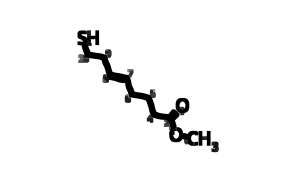 COC(=O)CCCC=CCCS